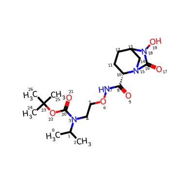 CC(C)N(CCONC(=O)[C@@H]1CCC2CN1C(=O)N2O)C(=O)OC(C)(C)C